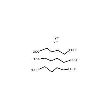 O=C([O-])CCCCC(=O)[O-].O=C([O-])CCCCC(=O)[O-].O=C([O-])CCCCC(=O)[O-].[Y+3].[Y+3]